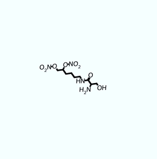 NC(CO)C(=O)NCCCCC(CO[N+](=O)[O-])O[N+](=O)[O-]